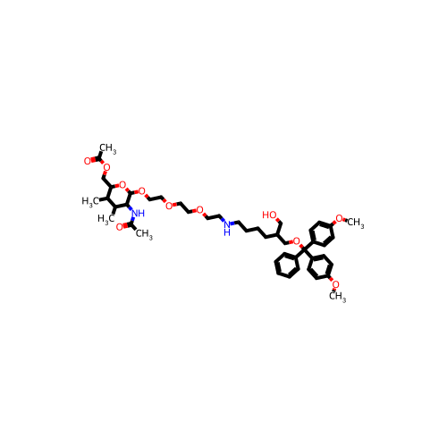 COc1ccc(C(OCC(CO)CCCCNCCOCCOCCOC2OC(COC(C)=O)C(C)C(C)C2NC(C)=O)(c2ccccc2)c2ccc(OC)cc2)cc1